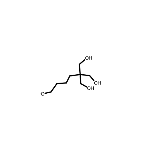 [O]CCCCC(CO)(CO)CO